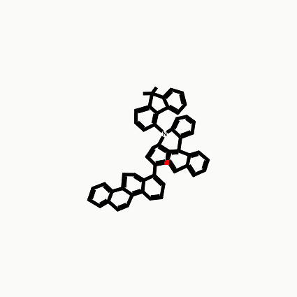 CC1(C)c2ccccc2-c2c(N(c3ccc(-c4cccc5c4ccc4c6ccccc6ccc54)cc3)c3ccccc3-c3cccc4ccccc34)cccc21